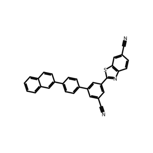 N#Cc1cc(-c2ccc(-c3ccc4ccccc4c3)cc2)cc(-c2nc3ccc(C#N)cc3s2)c1